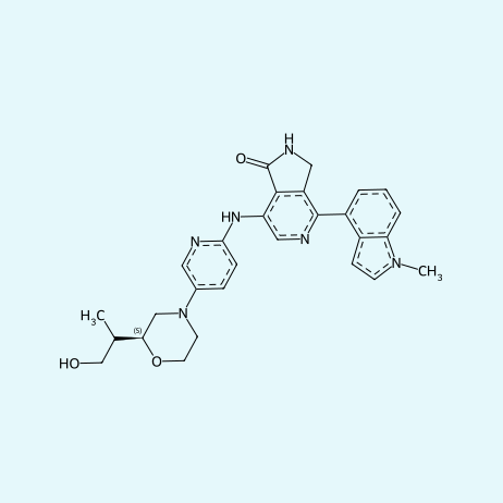 CC(CO)[C@H]1CN(c2ccc(Nc3cnc(-c4cccc5c4ccn5C)c4c3C(=O)NC4)nc2)CCO1